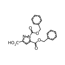 O=C(O)c1cc(C(=O)OCc2ccccc2)n(C(=O)OCc2ccccc2)n1